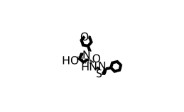 O=C(Nc1nc(C2CCCCC2)cs1)[C@@H]1C[C@@H](O)CN1CC1CCOCC1